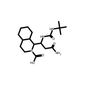 CC(C)(C)NC(=O)NC(CC(N)=O)C1C2CCCCC2CCN1C(=O)O